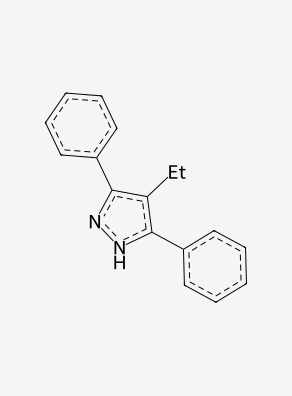 CCc1c(-c2ccccc2)n[nH]c1-c1ccccc1